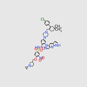 CC1(C)CCC(CN2CCN(c3ccc(C(=O)NS(=O)(=O)c4ccc(OCC5CCN(C6CC6)C5)c([N+](=O)[O-])c4)c(-n4ncc5nc6[nH]ccc6cc54)c3)CC2)=C(c2ccc(Cl)cc2)C1